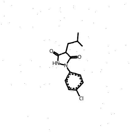 CC(C)CC1C(=O)NN(c2ccc(Cl)cc2)C1=O